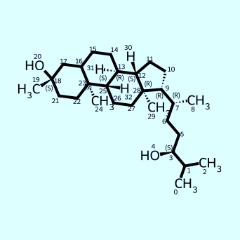 CC(C)[C@@H](O)CC[C@@H](C)[C@H]1CC[C@H]2[C@@H]3CCC4C[C@@](C)(O)CC[C@]4(C)[C@H]3CC[C@]12C